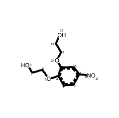 O=[N+]([O-])c1ccc(OCCO)c(OCCO)c1